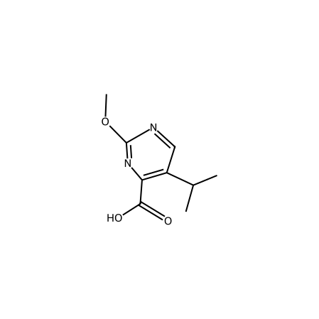 COc1ncc(C(C)C)c(C(=O)O)n1